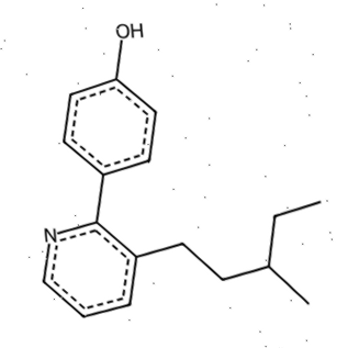 CCC(C)CCc1cccnc1-c1ccc(O)cc1